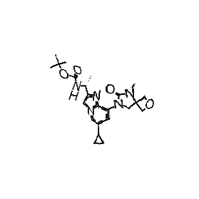 C[C@@H](NC(=O)OC(C)(C)C)c1cn2cc(C3CC3)cc(N3CC4(COC4)N(C)C3=O)c2n1